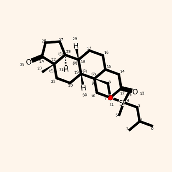 CC(C)C[Si](C)(C)OC[C@]12CCC(=O)CC1CC[C@@H]1[C@H]2CC[C@]2(C)C(=O)CC[C@@H]12